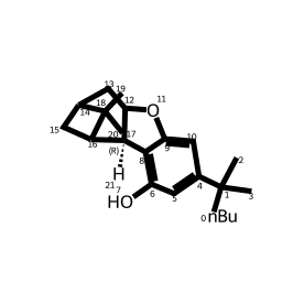 CCCCC(C)(C)c1cc(O)c2c(c1)OC1CC3CC([C@H]21)C3(C)C